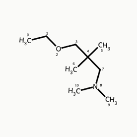 CCOCC(C)(C)CN(C)C